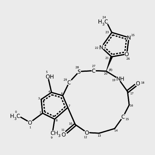 COc1cc(O)c2c(c1C)C(=O)OCCCCC(=O)N[C@H](c1nc(C)no1)CSC2